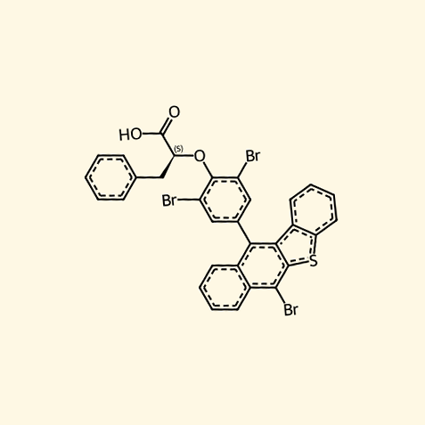 O=C(O)[C@H](Cc1ccccc1)Oc1c(Br)cc(-c2c3ccccc3c(Br)c3sc4ccccc4c23)cc1Br